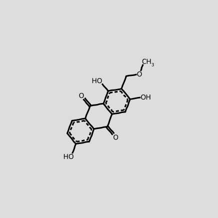 COCc1c(O)cc2c(c1O)C(=O)c1ccc(O)cc1C2=O